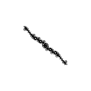 C=CC(=O)OCCCCCCOC(=O)Oc1ccc(C(=O)Oc2ccc(C(=O)O[C@H]3CO[C@H]4[C@@H]3OC[C@H]4OC(=O)c3ccc(OC(=O)c4ccc(OC(=O)OCCCCCCOC(=O)C=C)cc4)cc3)cc2)cc1